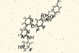 O=S(=O)(Cc1cc(F)ccc1F)Nc1c(F)cc(Oc2ncccc2-c2ccnc(N[C@@H]3CNC[C@@H](F)C3)n2)c(F)c1F